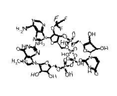 C[n+]1cn([C@@H]2O[C@H](COP(=O)(O)OP(=O)(O)OP(=O)(O)OC[C@H]3O[C@@H](n4cnc5c(N)ncnc54)C(OC(F)(F)F)C3OP(=O)(O)OC[C@H]3O[C@@H](n4ccc(=O)[nH]c4=O)C(O)C3O)C(O)C2O)c2nc(N)[nH]c(=O)c21